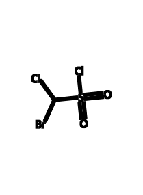 O=S(=O)(Cl)C(Cl)Br